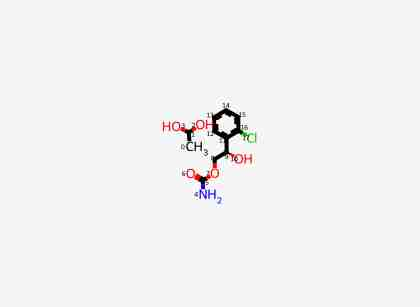 CC(O)O.NC(=O)OC[C@H](O)c1ccccc1Cl